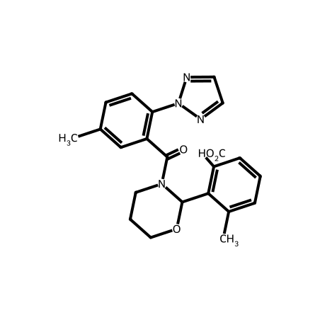 Cc1ccc(-n2nccn2)c(C(=O)N2CCCOC2c2c(C)cccc2C(=O)O)c1